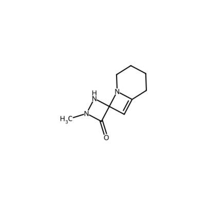 CN1NC2(C=C3CCCCN32)C1=O